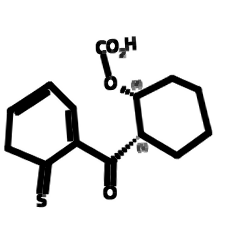 O=C(O)O[C@@H]1CCCC[C@@H]1C(=O)C1=CC=CCC1=S